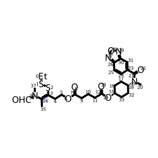 CCSS/C(CCOC(=O)CCCC(=O)O[C@H]1CC[C@H](N(C)C(=O)c2ccc3nonc3c2)CC1)=C(/C)N(C)C=O